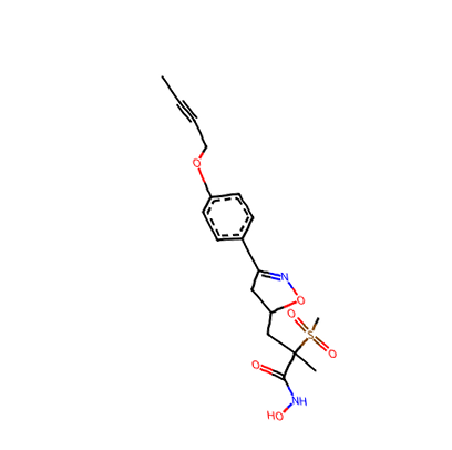 CC#CCOc1ccc(C2=NOC(CC(C)(C(=O)NO)S(C)(=O)=O)C2)cc1